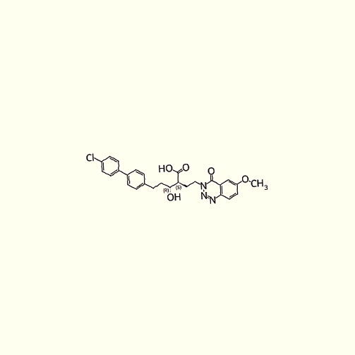 COc1ccc2nnn(CC[C@H](C(=O)O)[C@H](O)CCc3ccc(-c4ccc(Cl)cc4)cc3)c(=O)c2c1